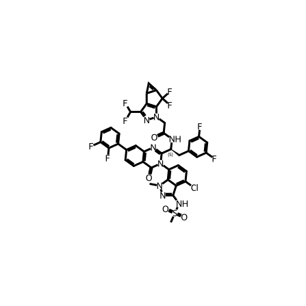 Cn1nc(NS(C)(=O)=O)c2c(Cl)ccc(-n3c([C@H](Cc4cc(F)cc(F)c4)NC(=O)Cn4nc(C(F)F)c5c4C(F)(F)C4=CC45)nc4cc(-c5cccc(F)c5F)ccc4c3=O)c21